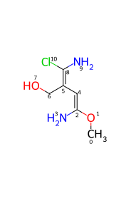 CO/C(N)=C/C(CO)=C(\N)Cl